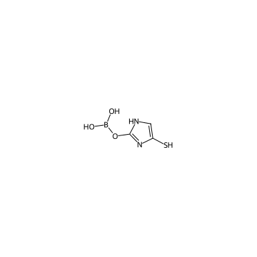 OB(O)Oc1nc(S)c[nH]1